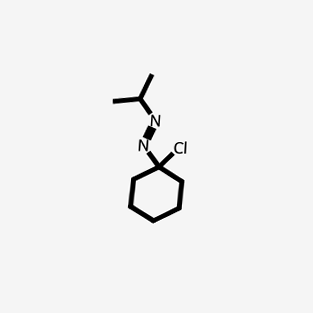 CC(C)N=NC1(Cl)CCCCC1